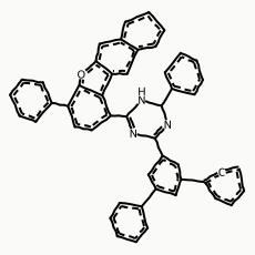 c1ccc(-c2cc(C3=NC(c4ccccc4)NC(c4ccc(-c5ccccc5)c5oc6cc7ccccc7cc6c45)=N3)cc(-c3ccccc3)c2)cc1